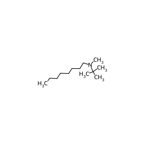 CCCCCCCCN(C)C(C)(C)C